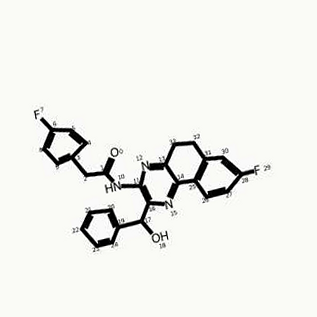 O=C(Cc1ccc(F)cc1)Nc1nc2c(nc1C(O)c1ccccc1)-c1ccc(F)cc1CC2